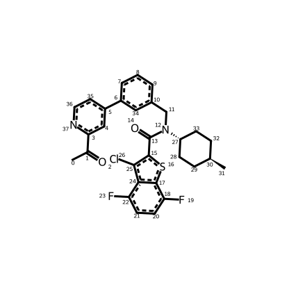 CC(=O)c1cc(-c2cccc(CN(C(=O)c3sc4c(F)ccc(F)c4c3Cl)[C@H]3CC[C@H](C)CC3)c2)ccn1